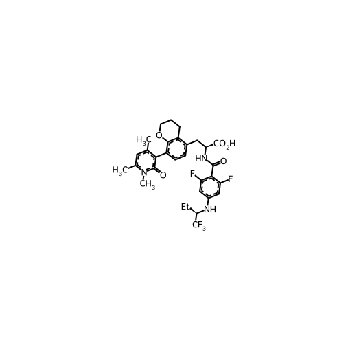 CC[C@@H](Nc1cc(F)c(C(=O)N[C@@H](Cc2ccc(-c3c(C)cc(C)n(C)c3=O)c3c2CCCO3)C(=O)O)c(F)c1)C(F)(F)F